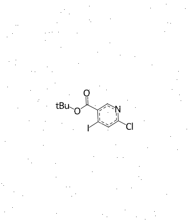 CC(C)(C)OC(=O)c1cnc(Cl)cc1I